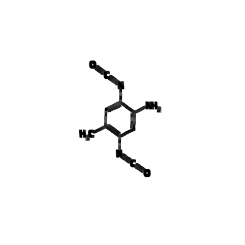 Cc1cc(N=C=O)c(N)cc1N=C=O